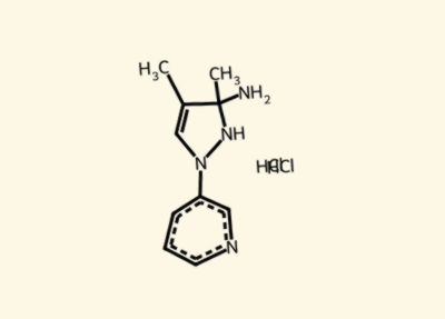 CC1=CN(c2cccnc2)NC1(C)N.Cl.Cl